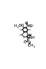 COC(=O)c1[nH]nc2c1CCc1cc(OC)c([N+](=O)[O-])cc1-2